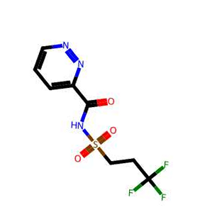 O=C(NS(=O)(=O)CCC(F)(F)F)c1cccnn1